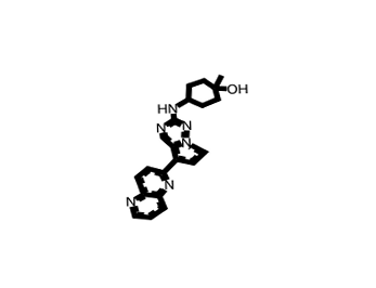 CC1(O)CCC(Nc2ncc3c(-c4ccc5ncccc5n4)ccn3n2)CC1